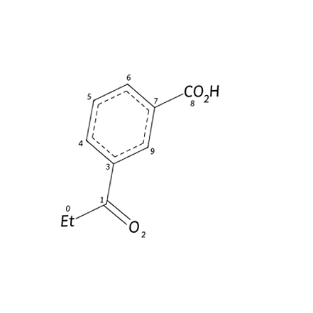 CCC(=O)c1cccc(C(=O)O)c1